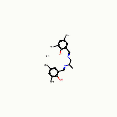 CC(CN=Cc1cc(C(C)(C)C)cc(C(C)(C)C)c1O)N=Cc1cc(C(C)(C)C)cc(C(C)(C)C)c1O.[Sn]